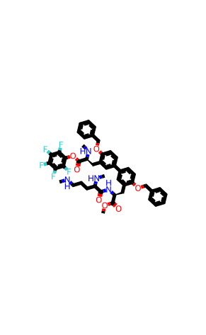 CNCCCC(NC)C(=O)N[C@@H](Cc1cc(-c2ccc(OCc3ccccc3)c(C[C@H](NC)C(=O)Oc3c(F)c(F)c(F)c(F)c3F)c2)ccc1OCc1ccccc1)C(=O)OC